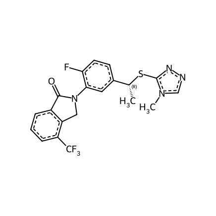 C[C@@H](Sc1nncn1C)c1ccc(F)c(N2Cc3c(cccc3C(F)(F)F)C2=O)c1